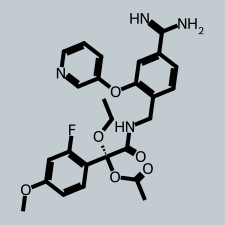 CCO[C@@](OC(C)=O)(C(=O)NCc1ccc(C(=N)N)cc1Oc1cccnc1)c1ccc(OC)cc1F